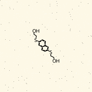 OCCSc1ccc2cc(SCCO)ccc2c1